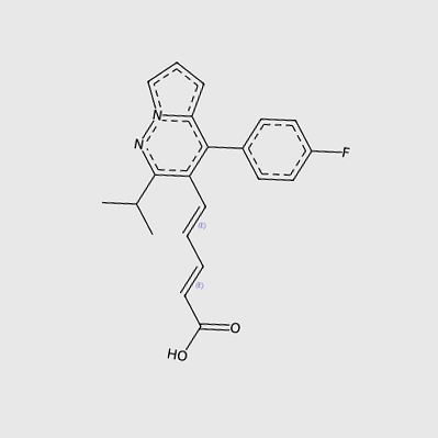 CC(C)c1nn2cccc2c(-c2ccc(F)cc2)c1/C=C/C=C/C(=O)O